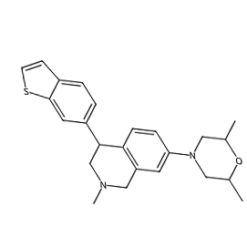 CC1CN(c2ccc3c(c2)CN(C)CC3c2ccc3ccsc3c2)CC(C)O1